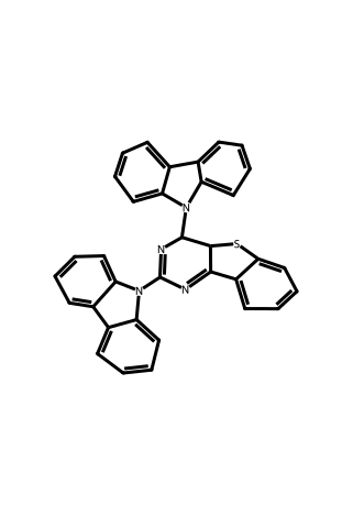 c1ccc2c(c1)SC1C2=NC(n2c3ccccc3c3ccccc32)=NC1n1c2ccccc2c2ccccc21